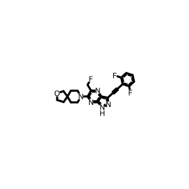 FCc1nc2c(C#Cc3c(F)cccc3F)n[nH]c2nc1N1CCC2(CCOC2)CC1